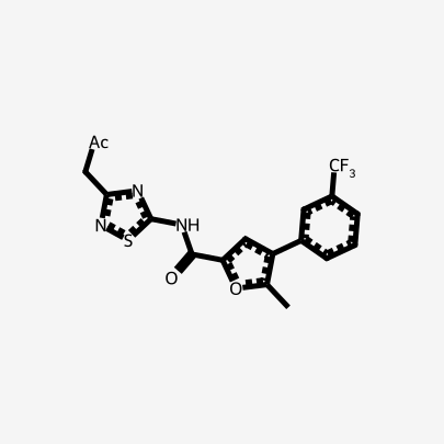 CC(=O)Cc1nsc(NC(=O)c2cc(-c3cccc(C(F)(F)F)c3)c(C)o2)n1